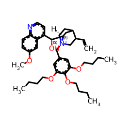 C=CC1C[N+]2(Cc3cc(OCCCC)c(OCCCC)c(OCCCC)c3)CCC1C[C@@H]2[C@@H](O)c1ccnc2ccc(OC)cc12